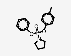 Cc1ccc(OP(=O)(Oc2ccccc2)N2CCCC2)cc1